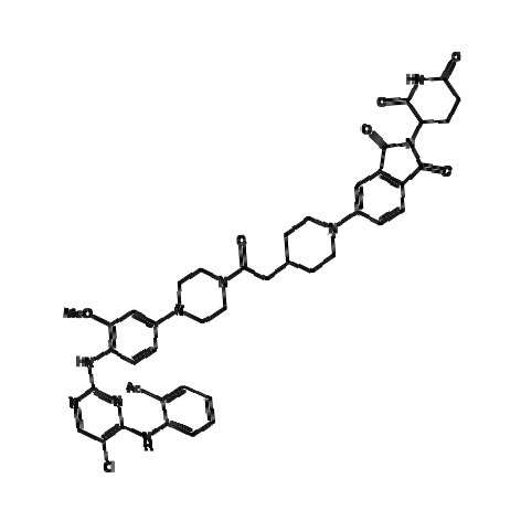 COc1cc(N2CCN(C(=O)CC3CCN(c4ccc5c(c4)C(=O)N(C4CCC(=O)NC4=O)C5=O)CC3)CC2)ccc1Nc1ncc(Cl)c(Nc2ccccc2C(C)=O)n1